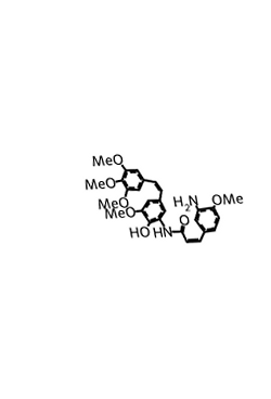 COc1ccc(/C=C\C(=O)Nc2cc(/C=C\c3cc(OC)c(OC)c(OC)c3)cc(OC)c2O)cc1N